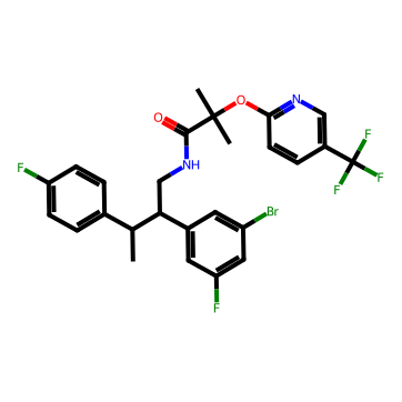 CC(c1ccc(F)cc1)C(CNC(=O)C(C)(C)Oc1ccc(C(F)(F)F)cn1)c1cc(F)cc(Br)c1